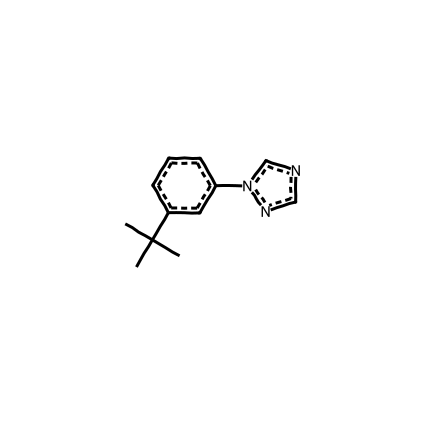 CC(C)(C)c1cccc(-n2cncn2)c1